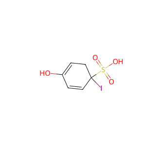 O=S(=O)(O)C1(I)C=CC(O)=CC1